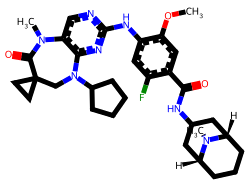 COc1cc(C(=O)NC2C[C@H]3CCC[C@@H](C2)N3C)c(F)cc1Nc1ncc2c(n1)N(C1CCCC1)CC1(CC1)C(=O)N2C